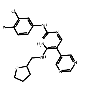 C=C(/N=C\C(=C(/N)NCC1CCCO1)c1cncnc1)Nc1ccc(F)c(Cl)c1